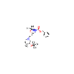 CC[Si](CC)(CC)OC(CCN1CCC2(CC2)C(O[Si](CC)(CC)CC)C1)CNC(=O)OCc1ccccc1